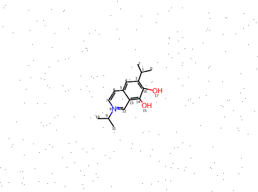 CC(C)c1cc2cc[n+](C(C)C)cc2c(O)c1O